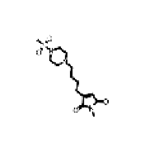 CN1C(=O)C=C(CCCCN2CCN(S(C)(=O)=O)CC2)C1=O